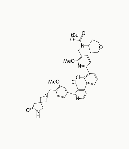 COc1cc(-c2nccc(-c3cccc(-c4ccc(CN(C(=O)OC(C)(C)C)C5CCOCC5)c(OC)n4)c3Cl)c2Cl)ccc1CN1CC2(CNC(=O)C2)C1